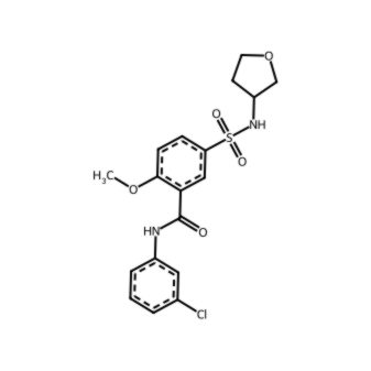 COc1ccc(S(=O)(=O)NC2CCOC2)cc1C(=O)Nc1cccc(Cl)c1